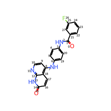 O=C(Nc1ccc(Nc2ccnc3[nH]c(=O)ccc23)cc1)c1cccc(F)c1